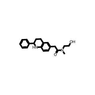 CN(CCO)C(=O)Cc1ccc2c(c1)CCC(c1ccccc1)N2